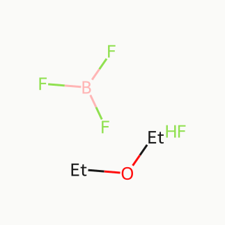 CCOCC.F.FB(F)F